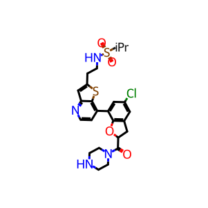 CC(C)S(=O)(=O)NCCc1cc2nccc(-c3cc(Cl)cc4c3OC(C(=O)N3CCNCC3)C4)c2s1